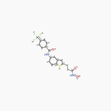 O=C(CCc1cc2cc(NC(=O)c3ccc(C(F)(F)F)cc3)ccc2s1)NO